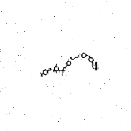 Cc1c(NC(=O)c2ccc(C(C)(C)O)cc2F)cc(F)cc1-c1ncnc2[nH]c(C3=CCN(C(=O)CCCCN4CCC(Oc5ccc(N6CCC(=O)NC6=O)cc5)CC4)CC3)cc12